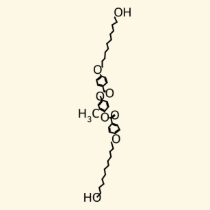 Cc1cc(OC(=O)c2ccc(OCCCCCCCCCCCCO)cc2)ccc1OC(=O)c1ccc(OCCCCCCCCCCCCO)cc1